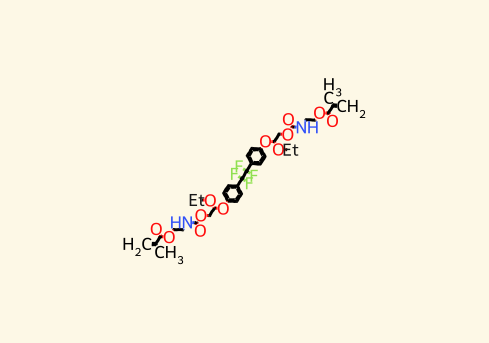 C=C(C)C(=O)OCCNC(=O)OCC(OCC)Oc1ccc(C(F)(F)C(F)(F)c2ccc(OC(COC(=O)NCCOC(=O)C(=C)C)OCC)cc2)cc1